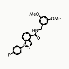 COc1cc(CNC(=O)c2cccc3c2cnn3-c2ccc(F)cc2)cc(OC)c1